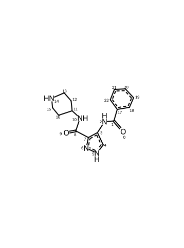 O=C(Nc1c[nH]nc1C(=O)NC1CCNCC1)c1ccccc1